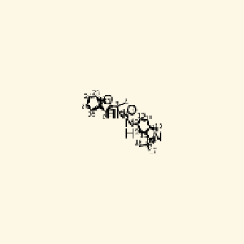 Cc1c(C(C)NC(=O)Nc2ccc3cnn(C(C)C)c3c2)oc2ccccc12